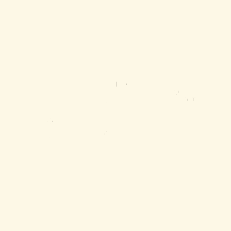 CCCOc1ccc(C2COC3=C(C=CC4=CC3CCC(C)(C)O4)C2)c(O)c1